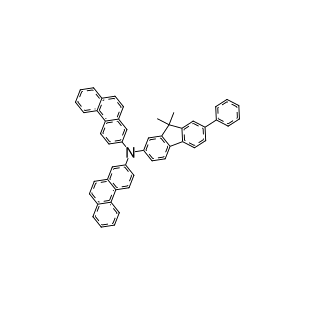 CC1(C)c2cc(-c3ccccc3)ccc2-c2ccc(N(c3ccc4c(ccc5ccccc54)c3)c3ccc4c(ccc5ccccc54)c3)cc21